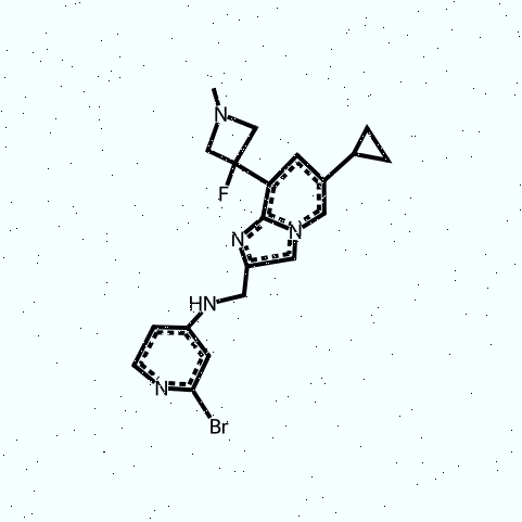 CN1CC(F)(c2cc(C3CC3)cn3cc(CNc4ccnc(Br)c4)nc23)C1